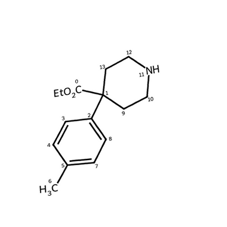 CCOC(=O)C1(c2ccc(C)cc2)CCNCC1